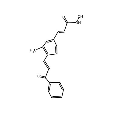 Cc1cc(/C=C/C(=O)NO)ccc1/C=C/C(=O)c1ccccc1